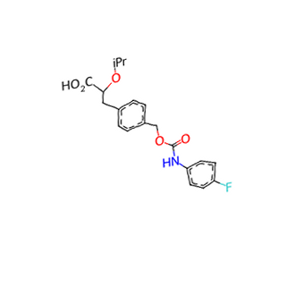 CC(C)OC(Cc1ccc(COC(=O)Nc2ccc(F)cc2)cc1)C(=O)O